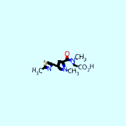 Cc1nc(-c2cc(C(=O)N(C)CC(=O)O)n(C)c2)cs1